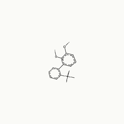 COc1cccc(-c2ccccc2C(C)(C)C)c1OC